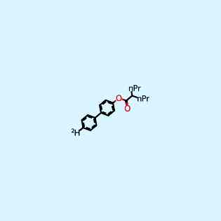 [2H]c1ccc(-c2ccc(OC(=O)C(CCC)CCC)cc2)cc1